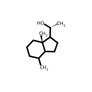 CC1CCC[C@@]2(C)C1CCC2[C@@H](C)O